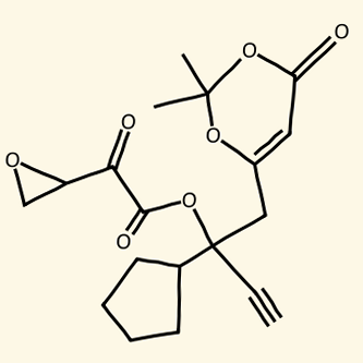 C#CC(CC1=CC(=O)OC(C)(C)O1)(OC(=O)C(=O)C1CO1)C1CCCC1